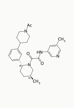 CC(=O)N1CCC(c2cccc([C@H]3CC[C@H](C)CN3C(=O)C(=O)Nc3cncc(C)c3)c2)CC1